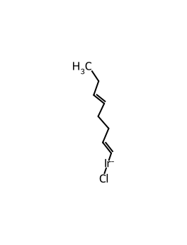 CCC=CCCC=[CH][Ir-][Cl]